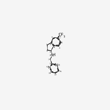 FC(F)(F)c1ccc2c(c1)CCC2NCc1ncccn1